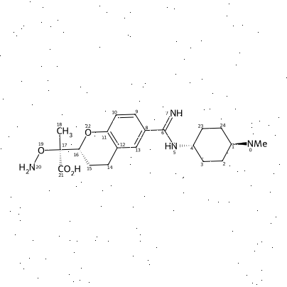 CN[C@H]1CC[C@H](NC(=N)c2ccc3c(c2)CC[C@H]([C@](C)(ON)C(=O)O)O3)CC1